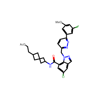 COc1cc(F)cc(-c2ccc(Cn3ncc4cc(Cl)cc(C(=O)NC5CC6(CC(CCOC(C)=O)C6)C5)c43)nn2)c1